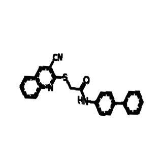 N#Cc1cc2ccccc2nc1SCC(=O)Nc1ccc(-c2ccccc2)cc1